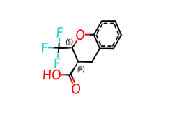 O=C(O)[C@@H]1Cc2ccccc2O[C@@H]1C(F)(F)F